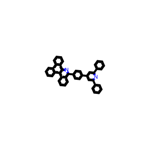 c1ccc(-c2cc(-c3ccc(-c4nc5c6ccccc6c6ccccc6c5c5ccccc45)cc3)cc(-c3ccccc3)n2)cc1